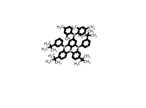 Cc1ccc(N(c2cc3c4c(c2)N(c2cccc(C(C)(C)C)c2)c2cc(C(C)(C)C)ccc2B4c2ccc(C(C)(C)C)cc2N3c2cccc(C(C)(C)C)c2)c2ccc(C)cc2C)c(C)c1